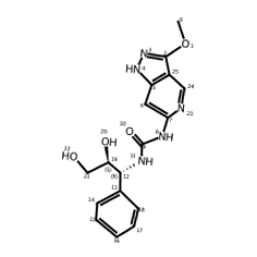 COc1n[nH]c2cc(NC(=O)N[C@H](c3ccccc3)[C@H](O)CO)ncc12